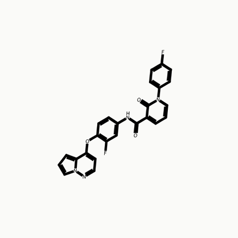 O=C(Nc1ccc(Oc2ccnn3cccc23)c(F)c1)c1cccn(-c2ccc(F)cc2)c1=O